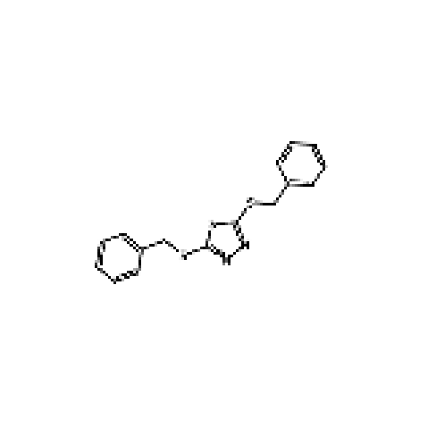 c1ccc(CSc2nnc(SCc3ccccc3)s2)cc1